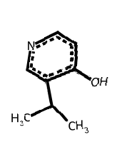 CC(C)c1cnccc1O